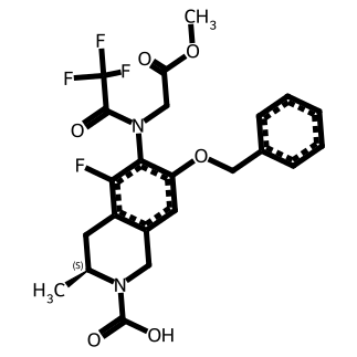 COC(=O)CN(C(=O)C(F)(F)F)c1c(OCc2ccccc2)cc2c(c1F)C[C@H](C)N(C(=O)O)C2